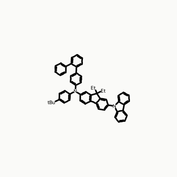 CCC1(CC)c2cc(N(c3ccc(-c4ccccc4-c4ccccc4)cc3)c3ccc(C(C)(C)C)cc3)ccc2-c2ccc(-n3c4ccccc4c4ccccc43)cc21